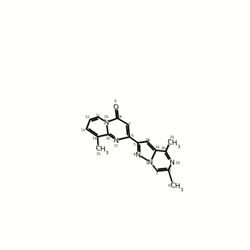 Cc1cn2nc(-c3cc(=O)n4cccc(C)c4n3)cc2c(C)n1